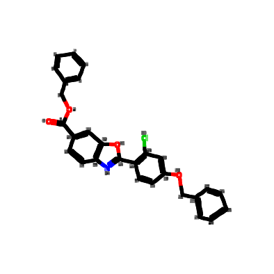 O=C(OCc1ccccc1)c1ccc2nc(-c3ccc(OCc4ccccc4)cc3Cl)oc2c1